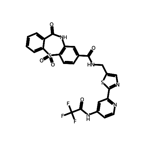 O=C(NCc1cnc(-c2cc(NC(=O)C(F)(F)F)ccn2)s1)c1ccc2c(c1)NC(=O)c1ccccc1S2(=O)=O